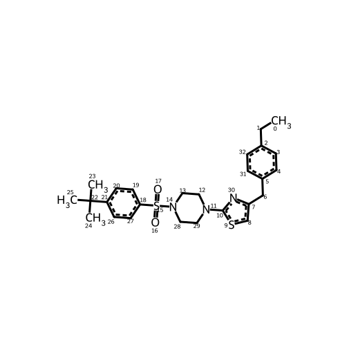 CCc1ccc(Cc2csc(N3CCN(S(=O)(=O)c4ccc(C(C)(C)C)cc4)CC3)n2)cc1